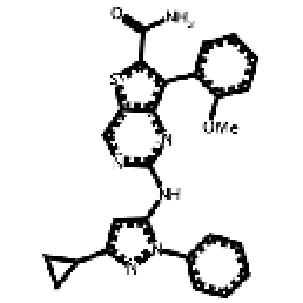 COc1ccccc1-c1c(C(N)=O)sc2cnc(Nc3cc(C4CC4)nn3-c3ccccc3)nc12